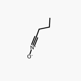 CCCC#[N+][O-]